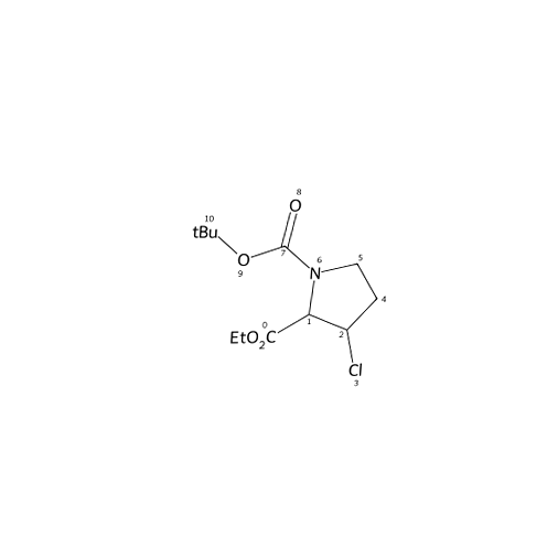 CCOC(=O)C1C(Cl)CCN1C(=O)OC(C)(C)C